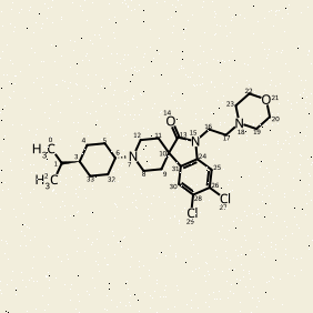 CC(C)[C@H]1CC[C@H](N2CCC3(CC2)C(=O)N(CCN2CCOCC2)c2cc(Cl)c(Cl)cc23)CC1